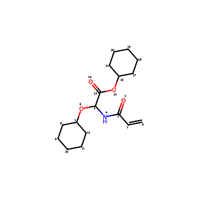 C=CC(=O)NC(OC1CCCCC1)C(=O)OC1CCCCC1